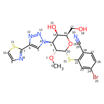 CO[C@@H]1[C@@H](n2cc(-c3nccs3)nn2)[C@@H](O)[C@@H](CO)O[C@@H]1Sc1cc(Br)ccc1C#N